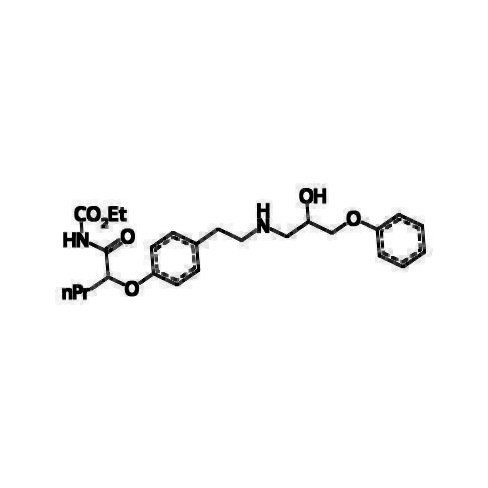 CCCC(Oc1ccc(CCNCC(O)COc2ccccc2)cc1)C(=O)NC(=O)OCC